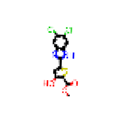 COC(=O)c1sc(-c2nc3cc(Cl)c(Cl)cc3[nH]2)cc1O